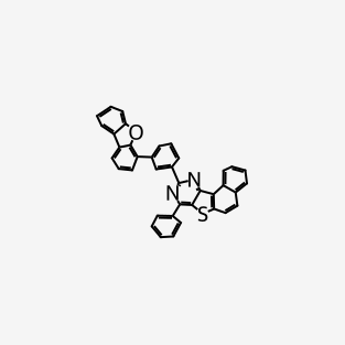 c1ccc(-c2nc(-c3cccc(-c4cccc5c4oc4ccccc45)c3)nc3c2sc2ccc4ccccc4c23)cc1